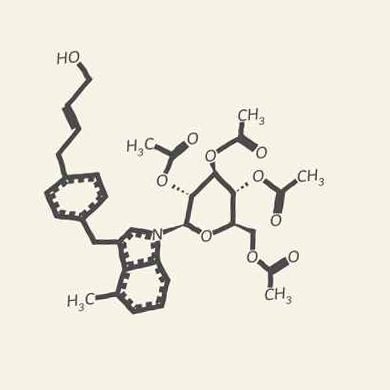 CC(=O)OC[C@H]1O[C@@H](n2cc(Cc3ccc(C/C=C/CO)cc3)c3c(C)cccc32)[C@H](OC(C)=O)[C@@H](OC(C)=O)[C@@H]1OC(C)=O